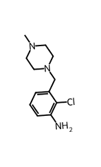 CN1CCN(Cc2cccc(N)c2Cl)CC1